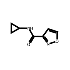 O=C(NC1CC1)c1c[c]on1